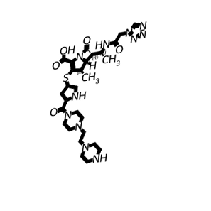 C[C@@H](NC(=O)Cn1cnnn1)[C@H]1C(=O)N2C(C(=O)O)=C(SC3CNC(C(=O)N4CCN(CCN5CCNCC5)CC4)C3)[C@H](C)[C@@H]12